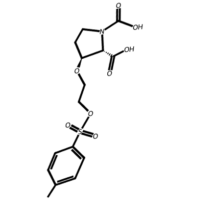 Cc1ccc(S(=O)(=O)OCCO[C@H]2CCN(C(=O)O)[C@@H]2C(=O)O)cc1